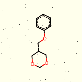 c1ccc(OCC2COCOC2)cc1